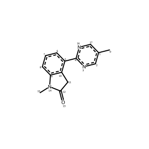 Cc1cnc(-c2cccc3c2CC(=O)N3C)nc1